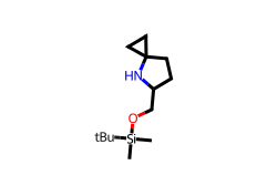 CC(C)(C)[Si](C)(C)OCC1CCC2(CC2)N1